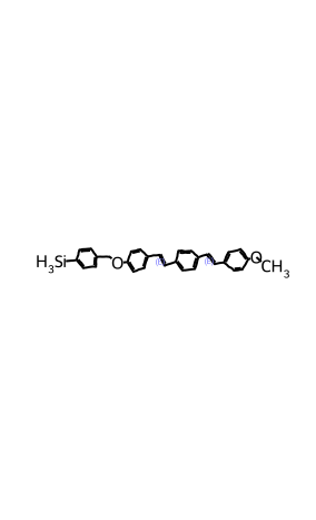 COc1ccc(/C=C/c2ccc(/C=C/c3ccc(OCc4ccc([SiH3])cc4)cc3)cc2)cc1